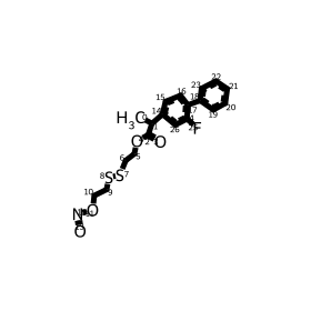 CC(C(=O)OCCSSCCON=O)c1ccc(-c2ccccc2)c(F)c1